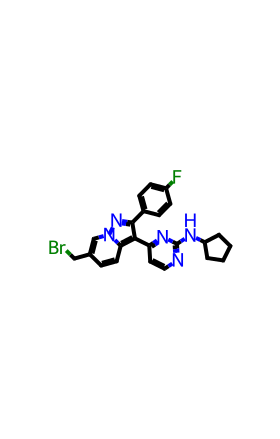 Fc1ccc(-c2nn3cc(CBr)ccc3c2-c2ccnc(NC3CCCC3)n2)cc1